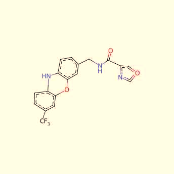 O=C(NCc1ccc2c(c1)Oc1cc(C(F)(F)F)ccc1N2)c1cocn1